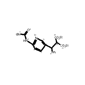 CCCC(c1ccc(NC(=O)C(C)(C)C)nc1)C(C(=O)OCC)C(=O)OCC